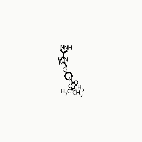 CC(C)(C)OC(=O)N1CCC(OCc2noc(-c3cn[nH]c3)n2)CC1